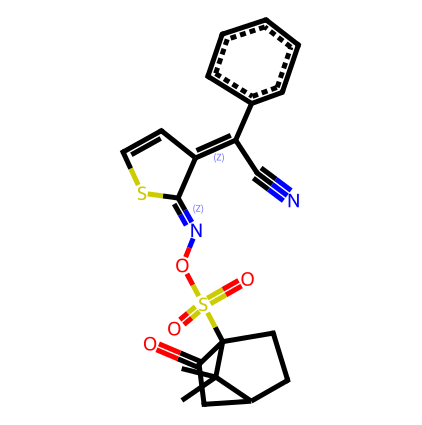 CC1(C)C2CCC1(S(=O)(=O)O/N=C1\SC=C\C1=C(\C#N)c1ccccc1)C(=O)C2